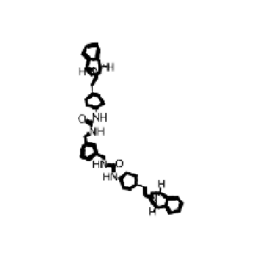 O=C(NCc1cccc(CNC(=O)N[C@H]2CC[C@H](CCN3[C@@H]4CC[C@H]3c3ccccc34)CC2)c1)N[C@H]1CC[C@H](CCN2[C@@H]3CC[C@H]2c2ccccc23)CC1